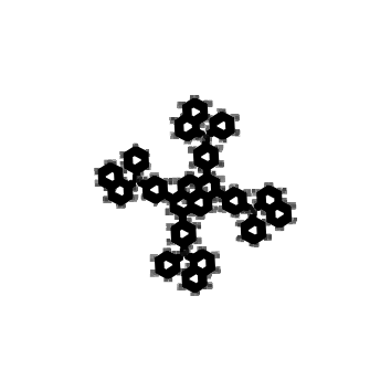 c1ccc(N(c2ccc(-c3cc(-c4ccc(N(c5ccccc5)c5cccc6ccccc56)cc4)c4ccc5c(-c6ccc(N(c7ccccc7)c7cccc8ccccc78)cc6)cc(-c6ccc(N(c7ccccc7)c7cccc8ccccc78)cc6)c6ccc3c4c65)cc2)c2cccc3ccccc23)cc1